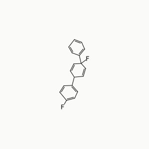 Fc1ccc(C2C=CC(F)(c3ccccc3)C=C2)cc1